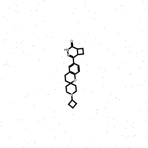 O=C1NN=C(c2ccc3c(c2)CCC2(CCN(C4CCC4)CC2)O3)C2CCC12